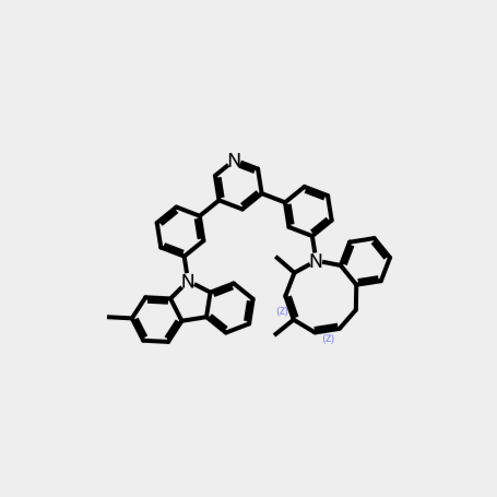 CC1=C/C(C)N(c2cccc(-c3cncc(-c4cccc(-n5c6ccccc6c6ccc(C)cc65)c4)c3)c2)c2ccccc2C/C=C\1